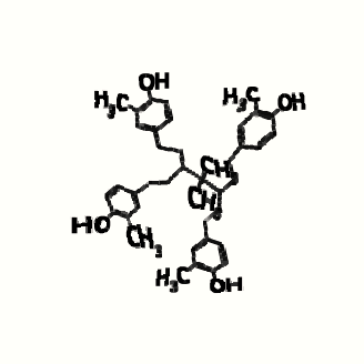 Cc1cc(CCC(CCc2ccc(O)c(C)c2)C(C)(C)C(CCc2ccc(O)c(C)c2)CCc2ccc(O)c(C)c2)ccc1O